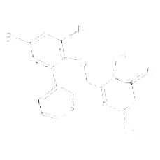 Cc1cc(COc2c(Br)cc(Br)cc2-c2ccccc2)n(O)c(=O)c1